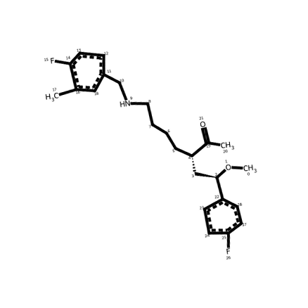 CO[C@H](C[C@H](CCCCNCc1ccc(F)c(C)c1)C(C)=O)c1ccc(F)cc1